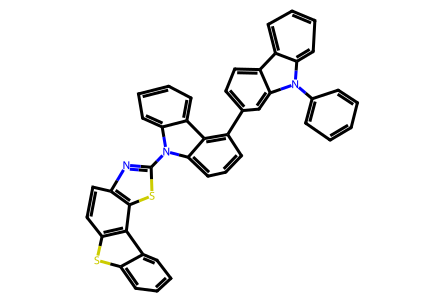 c1ccc(-n2c3ccccc3c3ccc(-c4cccc5c4c4ccccc4n5-c4nc5ccc6sc7ccccc7c6c5s4)cc32)cc1